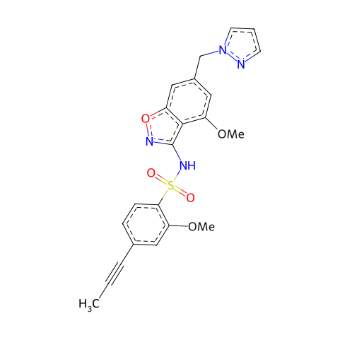 CC#Cc1ccc(S(=O)(=O)Nc2noc3cc(Cn4cccn4)cc(OC)c23)c(OC)c1